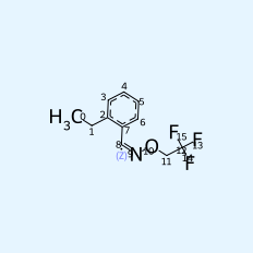 CCc1ccccc1/[C]=N\OCC(F)(F)F